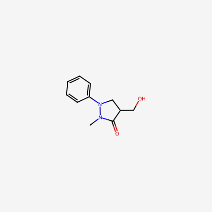 CN1C(=O)C(CO)CN1c1ccccc1